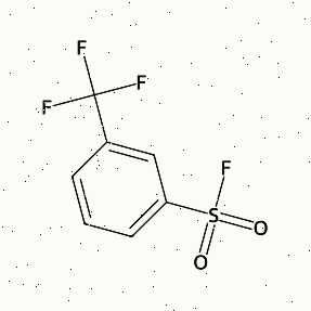 O=S(=O)(F)c1cccc(C(F)(F)F)c1